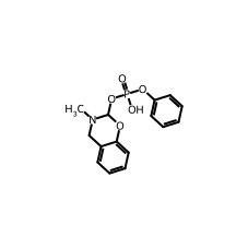 CN1Cc2ccccc2OC1OP(=O)(O)Oc1ccccc1